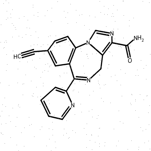 C#Cc1ccc2c(c1)C(c1ccccn1)=NCc1c(C(N)=O)ncn1-2